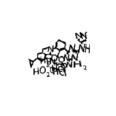 Cl.Cl.Cn1cc(Nc2nc(N)nc(-c3cccc(-n4ccc5cc(C6CC6)cc(F)c5c4=O)c3COC(=O)[C@@H](N)CC(=O)O)n2)cn1